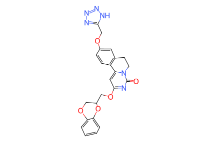 O=c1nc(OCC2COc3ccccc3O2)cc2n1CCc1cc(OCc3nnn[nH]3)ccc1-2